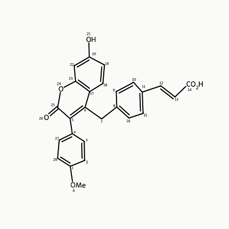 COc1ccc(-c2c(Cc3ccc(/C=C/C(=O)O)cc3)c3ccc(O)cc3oc2=O)cc1